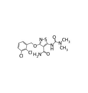 CN(C)C(=O)Nc1snc(OCc2cccc(Cl)c2Cl)c1C(N)=O